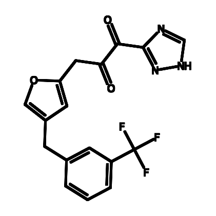 O=C(Cc1cc(Cc2cccc(C(F)(F)F)c2)co1)C(=O)c1nc[nH]n1